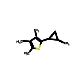 Cc1sc(C2CC2C)c(C)c1C